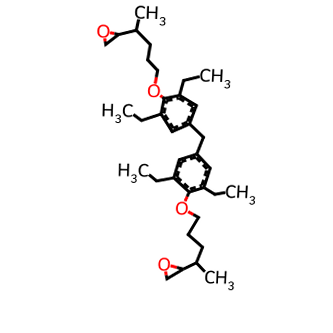 CCc1cc(Cc2cc(CC)c(OCCCC(C)C3CO3)c(CC)c2)cc(CC)c1OCCCC(C)C1CO1